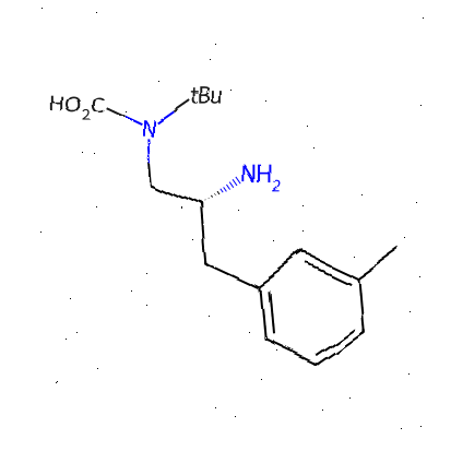 Cc1cccc(C[C@@H](N)CN(C(=O)O)C(C)(C)C)c1